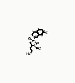 O=CN(O)C(CCO)CS(=O)(=O)N1CCc2ccc(Cl)cc2C1